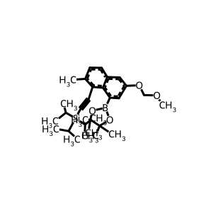 COCOc1cc(B2OC(C)(C)C(C)(C)O2)c2c(C#C[Si](C(C)C)(C(C)C)C(C)C)c(C)ccc2c1